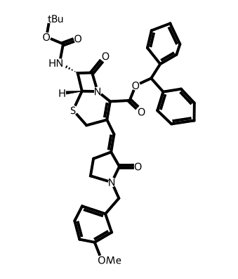 COc1cccc(CN2CCC(=CC3=C(C(=O)OC(c4ccccc4)c4ccccc4)N4C(=O)[C@@H](NC(=O)OC(C)(C)C)[C@H]4SC3)C2=O)c1